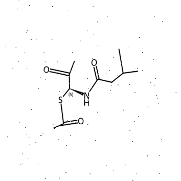 CC(=O)S[C@H](NC(=O)CC(C)C)C(C)=O